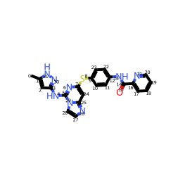 Cc1cc(Nc2nc(Sc3ccc(NC(=O)c4ccccn4)cc3)cc3nccn23)n[nH]1